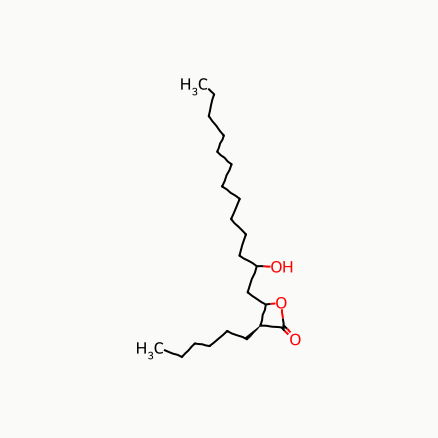 CCCCCCCCCCCC(O)CC1OC(=O)[C@H]1CCCCCC